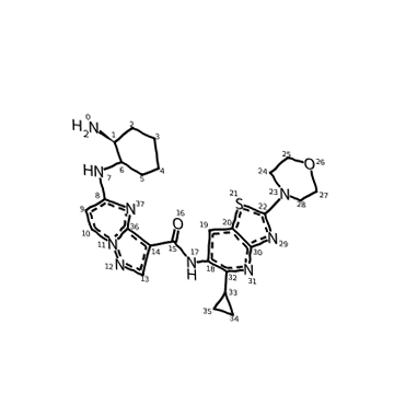 N[C@H]1CCCCC1Nc1ccn2ncc(C(=O)Nc3cc4sc(N5CCOCC5)nc4nc3C3CC3)c2n1